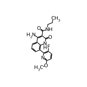 CCCNC(=O)c1c(N)c2cccc(-c3nc(OC)ccc3F)c2[nH]c1=O